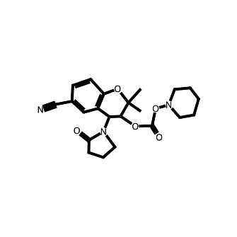 CC1(C)Oc2ccc(C#N)cc2C(N2CCCC2=O)C1OC(=O)ON1CCCCC1